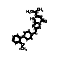 COc1ccccc1N1CCN(Cc2nc3[nH]c(C(C)C)cc(=O)n3n2)CC1